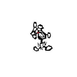 c1ccc(-c2nc(-c3ccccc3)nc(-c3cccc(-c4cccc5c4C4(c6ccccc6-5)c5ccccc5-c5c(-c6ccccc6)sc(-c6ccccc6)c54)c3)n2)cc1